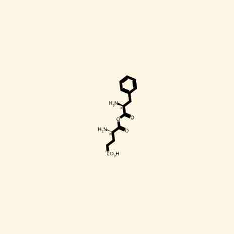 N[C@@H](CCC(=O)O)C(=O)OC(=O)[C@@H](N)Cc1ccccc1